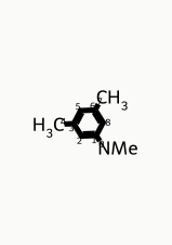 CNc1cc(C)[c]c(C)c1